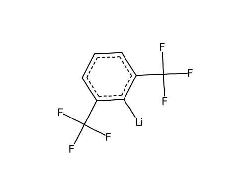 [Li][c]1c(C(F)(F)F)cccc1C(F)(F)F